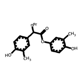 CCCC(C(=O)Oc1ccc(O)c(C)c1)c1ccc(O)c(C)c1